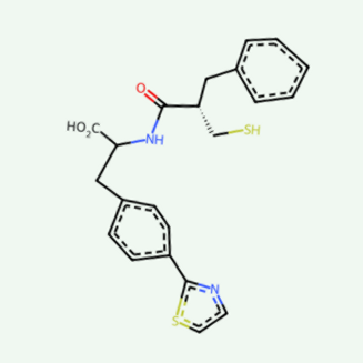 O=C(O)C(Cc1ccc(-c2nccs2)cc1)NC(=O)[C@@H](CS)Cc1ccccc1